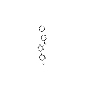 CN1CCN(c2ccc(Nc3nccc(-c4ccc(Cl)nc4)n3)cc2)CC1